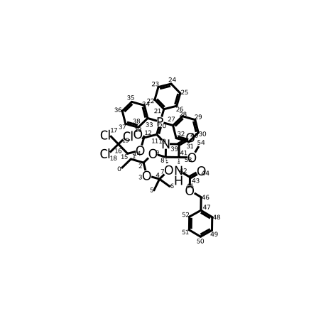 CCC1OC(C)(C)O[C@]2(O1)N(C(C(=O)OCC(Cl)(Cl)Cl)=P(c1ccccc1)(c1ccccc1)c1ccccc1)C(=O)[C@@]2(NC(=O)OCc1ccccc1)OC